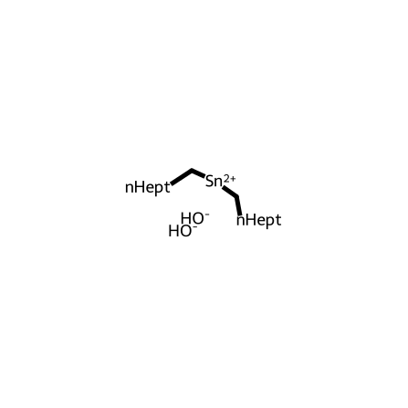 CCCCCCC[CH2][Sn+2][CH2]CCCCCCC.[OH-].[OH-]